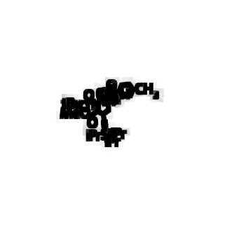 COC(=O)C(C(C#C[Si](C(C)C)(C(C)C)C(C)C)CCOS(=O)(=O)c1ccc(C)cc1)N(NC(=O)O)C(=O)OC(C)(C)C